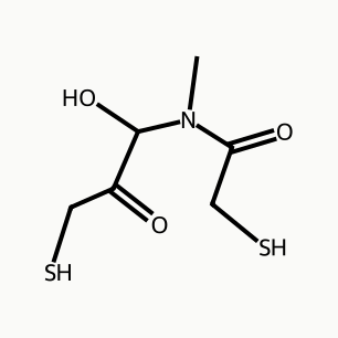 CN(C(=O)CS)C(O)C(=O)CS